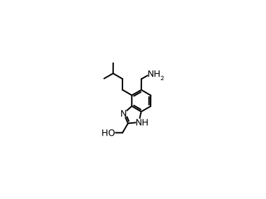 CC(C)CCc1c(CN)ccc2[nH]c(CO)nc12